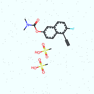 C#Cc1c(F)ccc2cc(OC(=O)N(C)C)ccc12.CS(=O)(=O)O.CS(=O)(=O)O